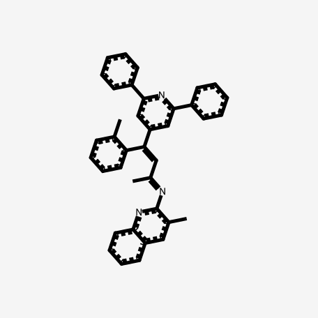 CC(/C=C(/c1cc(-c2ccccc2)nc(-c2ccccc2)c1)c1ccccc1C)=N\c1nc2ccccc2cc1C